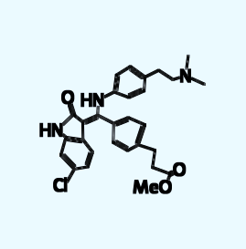 COC(=O)CCc1ccc(/C(Nc2ccc(CCN(C)C)cc2)=C2/C(=O)Nc3cc(Cl)ccc32)cc1